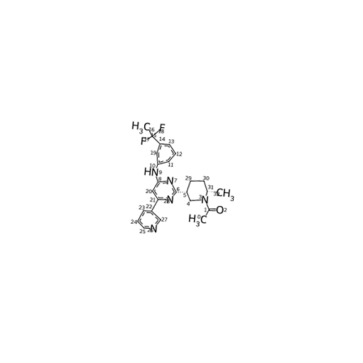 CC(=O)N1C[C@H](c2nc(Nc3cccc(C(C)(F)F)c3)cc(-c3cccnc3)n2)CC[C@@H]1C